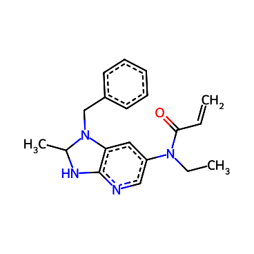 C=CC(=O)N(CC)c1cnc2c(c1)N(Cc1ccccc1)C(C)N2